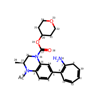 CC(=O)N1c2ccc(C3=C(N)CC=CC=C3)cc2N(C(=O)OC2CCOCC2)C[C@@H]1C